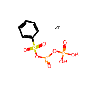 O=[PH](OP(=O)(O)O)OS(=O)(=O)c1ccccc1.[Zr]